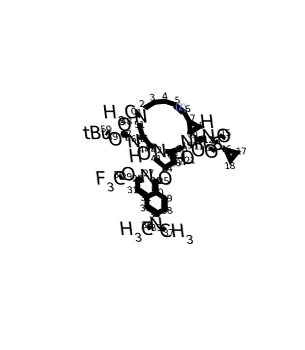 CN1CCC/C=C\C2C[C@@]2(C(=O)NS(=O)(=O)C2CC2)NC(=O)[C@@H]2CC(Oc3nc(OC(F)(F)F)cc4cc(N(C)C)ccc34)CN2C(=O)[C@@H](NC(=O)OC(C)(C)C)C1